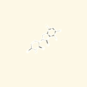 O=C1CC[C@@H](N2Cc3c(F)cc(F)c(I)c3C2=O)C(=O)N1